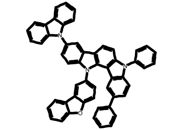 c1ccc(-c2ccc3c(c2)c2c(ccc4c5cc(-n6c7ccccc7c7ccccc76)ccc5n(-c5ccc6oc7ccccc7c6c5)c42)n3-c2ccccc2)cc1